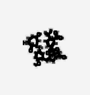 COc1ccc(F)cc1C=C1CN2C(=O)CC2(S(=O)(=O)c2ccc(N(C)C)c([N+](=O)[O-])c2)C1=O.O=C1CCNC(=O)CC1